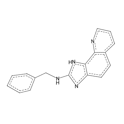 c1ccc(CNc2nc3ccc4cccnc4c3[nH]2)cc1